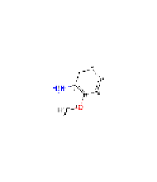 COC1=C(N)CCC=C1